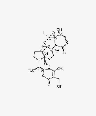 CC1=C(CO)C(=O)O[C@@H]([C@@H](C)C2CC[C@H]3[C@@H]4C[C@H]5O[C@@]56C(C(=O)C=C[C@@H]6O)[C@H]4CC[C@]23C)C1